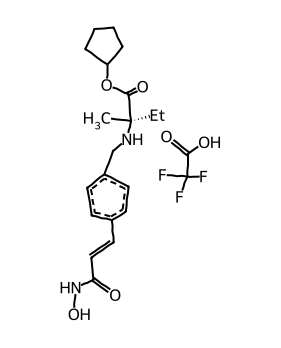 CC[C@@](C)(NCc1ccc(/C=C/C(=O)NO)cc1)C(=O)OC1CCCC1.O=C(O)C(F)(F)F